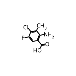 Cc1c(N)c(C(=O)O)cc(F)c1Cl